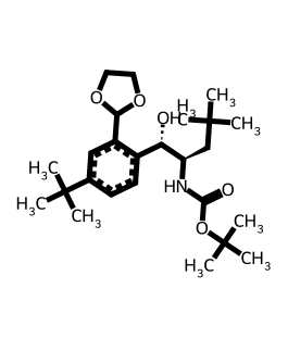 CC(C)(C)C[C@@H](NC(=O)OC(C)(C)C)[C@@H](O)c1ccc(C(C)(C)C)cc1C1OCCO1